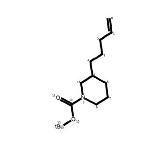 C=CCCCC1CCCN(C(=O)OC(C)(C)C)C1